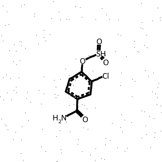 NC(=O)c1ccc(O[SH](=O)=O)c(Cl)c1